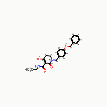 O=C(O)CNC(=O)C1=C(O)CCN(Cc2ccc(OCc3ccccc3)cc2)C1=O